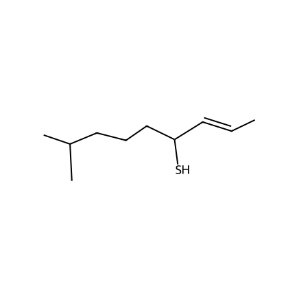 CC=CC(S)CCCC(C)C